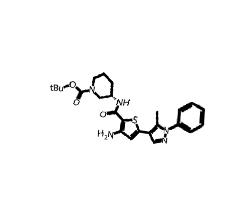 Cc1c(-c2cc(N)c(C(=O)N[C@H]3CCCN(C(=O)OC(C)(C)C)C3)s2)cnn1-c1ccccc1